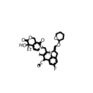 CC[C@@]1(O)C(=O)OCc2c1ccn(CC1=C(I)C(=C=O)c3cc(F)cc4c3N1C(=COC1CCCCO1)C4)c2=O